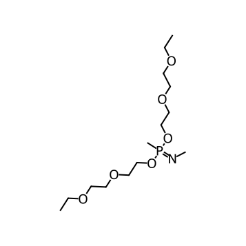 CCOCCOCCOP(C)(=NC)OCCOCCOCC